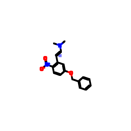 CN(C)/C=C/c1cc(OCc2ccccc2)ccc1[N+](=O)[O-]